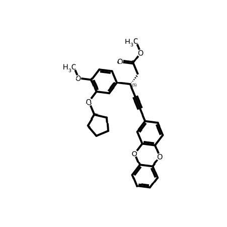 COC(=O)C[C@H](C#Cc1ccc2c(c1)Oc1ccccc1O2)c1ccc(OC)c(OC2CCCC2)c1